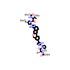 CC[C@H]1CC[C@@H](c2ncc(-c3ccc4c(c3)COc3cc5c(ccc6nc([C@@H]7C[C@H](COC)CN7C(=O)C(NC(=O)OC)[C@@H](C)OC)[nH]c65)cc3-4)[nH]2)N1C(=O)[C@@H](NC(=O)OC)C(C)C